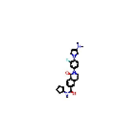 CN(C(=O)C1=CC2CCN(c3ccc(N4CC[C@@H](N(C)C)C4)c(F)c3)C(=O)C2C=C1)C1CCCC1